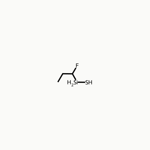 CCC(F)[SiH2]S